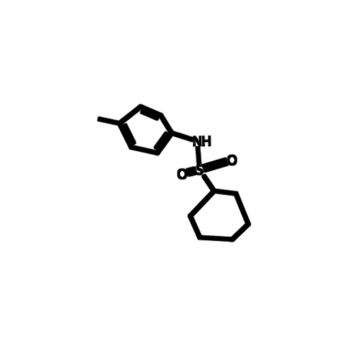 Cc1ccc(NS(=O)(=O)C2CCCCC2)cc1